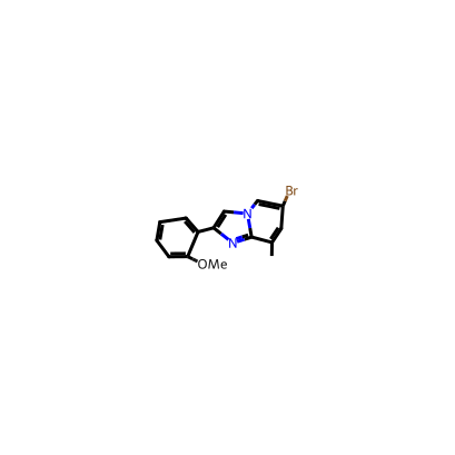 COc1ccccc1-c1cn2cc(Br)cc(C)c2n1